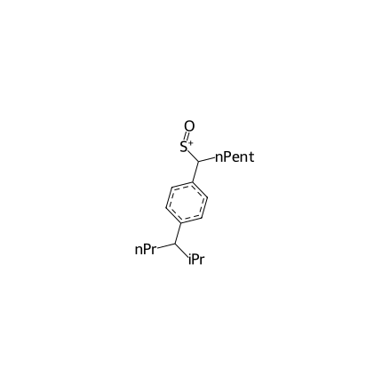 CCCCCC([S+]=O)c1ccc(C(CCC)C(C)C)cc1